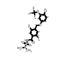 CN(C)S(=O)(=O)NC(=O)c1cc(F)c(COc2ccc(Cl)c(OC(F)(F)F)c2)cc1F